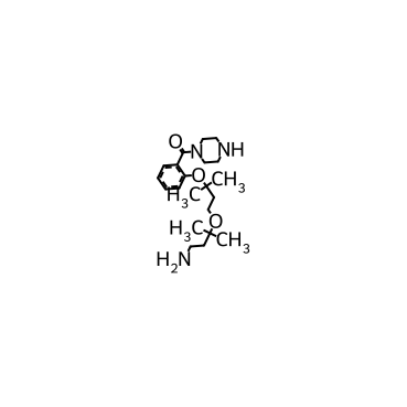 CC(C)(CCN)OCCC(C)(C)Oc1ccccc1C(=O)N1CCNCC1